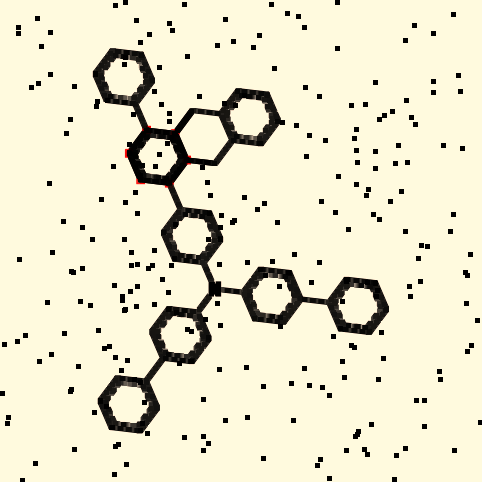 c1ccc(-c2ccc(N(c3ccc(-c4ccccc4)cc3)c3ccc(-c4ccc(-c5ccccc5)c5c4C4c6ccccc6C5c5ccccc54)cc3)cc2)cc1